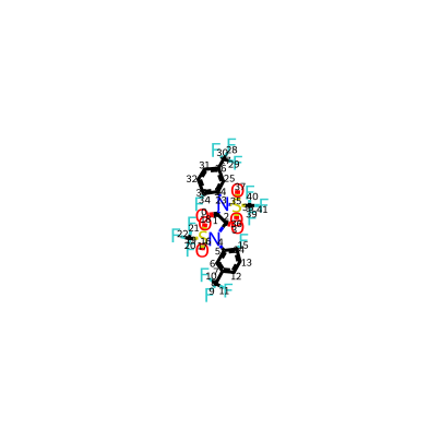 O=C(C(=O)N(c1cc(C(F)(F)F)ccc1F)S(=O)(=O)C(F)(F)F)N(c1cc(C(F)(F)F)ccc1F)S(=O)(=O)C(F)(F)F